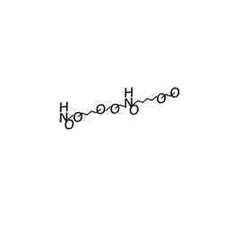 CNC(=O)COCCCCOCCOCCNC(=O)CCCCCOCCOC